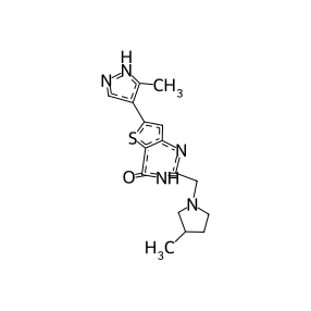 Cc1[nH]ncc1-c1cc2nc(CN3CCC(C)C3)[nH]c(=O)c2s1